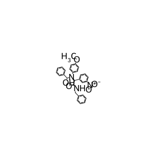 COc1ccc(N(C(O)c2ccccc2)C(C(=O)NCc2ccccc2)c2cccc([N+](=O)[O-])c2)cc1